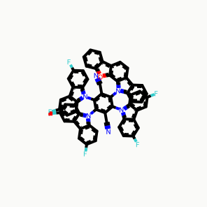 N#Cc1c(-n2c3ccc(F)cc3c3cc(F)ccc32)c(-n2c3ccc(F)cc3c3cc(F)ccc32)c(C#N)c(-n2c3ccccc3c3ccc4c5ccccc5oc4c32)c1-n1c2ccc(F)cc2c2cc(F)ccc21